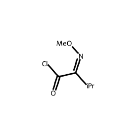 CON=C(C(=O)Cl)C(C)C